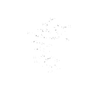 CCCC(=O)N(C)[C@H](CO)C(=O)N(C)[C@@H](CC(C)C)C(=O)NC(=O)N(C)C(=O)NC(=O)NC(C)CON(C)[C@@H](CC(C)C)C(=O)NC